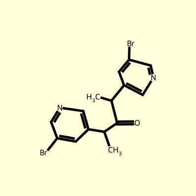 CC(C(=O)C(C)c1cncc(Br)c1)c1cncc(Br)c1